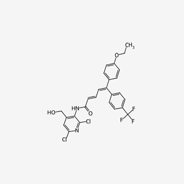 CCOc1ccc(/C(=C/C=C/C(=O)Nc2c(CO)cc(Cl)nc2Cl)c2ccc(C(F)(F)F)cc2)cc1